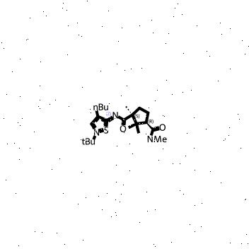 CCCCc1cn(C(C)(C)C)s/c1=N\C(=O)[C@@]1(C)CC[C@@H](C(=O)NC)C1(C)C